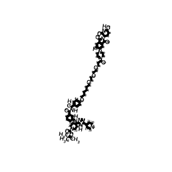 C[C@@H](NC(=O)c1cccc(NC2(c3nnc(-c4ccncc4)[nH]3)CCN(C(=O)OC(C)(C)C)CC2)c1)c1ccc(OCCCCCCOCCOCCOCCC(=O)N2CCN(c3cc4c(cc3F)C(=O)N(C3CCC(=O)NC3=O)C4=O)CC2)cc1